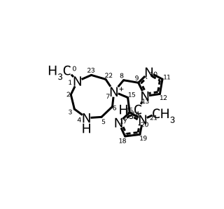 CN1CCNCC[N+](Cc2nccn2C)(Cc2nccn2C)CC1